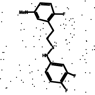 CNc1ccc(F)c(CCSNc2ccc(F)c(F)c2)c1